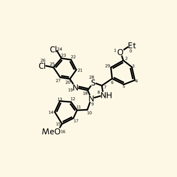 CCOc1cccc(C2NN(Cc3cccc(OC)c3)C(=Nc3ccc(Cl)c(Cl)c3)S2)c1